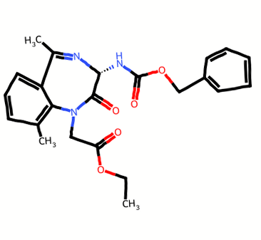 CCOC(=O)CN1C(=O)[C@@H](NC(=O)OCc2ccccc2)N=C(C)c2cccc(C)c21